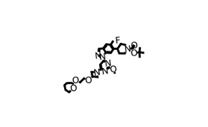 COc1nc(N2CC(OCCOC3CCCCO3)C2)cc(-n2ncc3cc(C)c(C4CCN(C(=O)OC(C)(C)C)CC4F)cc32)n1